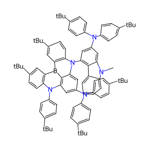 Cn1c2ccccc2c2c(N3c4ccc(C(C)(C)C)cc4B4c5cc(C(C)(C)C)ccc5N(c5ccc(C(C)(C)C)cc5)c5cc(N(c6ccc(C(C)(C)C)cc6)c6ccc(C(C)(C)C)cc6)cc3c54)cc(N(c3ccc(C(C)(C)C)cc3)c3ccc(C(C)(C)C)cc3)cc21